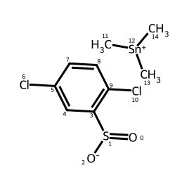 O=S([O-])c1cc(Cl)ccc1Cl.[CH3][Sn+]([CH3])[CH3]